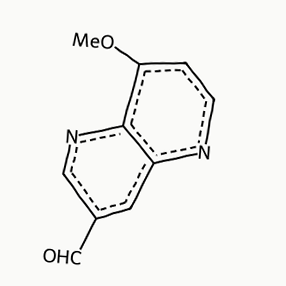 COc1ccnc2cc(C=O)cnc12